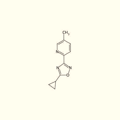 Cc1ccc(-c2noc(C3CC3)n2)nc1